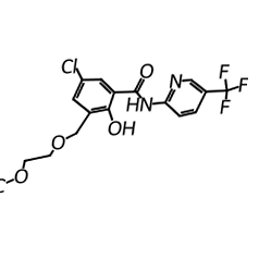 COCCOCc1cc(Cl)cc(C(=O)Nc2ccc(C(F)(F)F)cn2)c1O